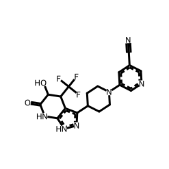 N#Cc1cncc(N2CCC(c3n[nH]c4c3C(C(F)(F)F)C(O)C(=O)N4)CC2)c1